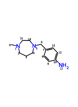 CN1CCCN(Cc2ccc(N)cc2)CC1